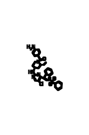 CC[C@H]1C[C@@H](Nc2ncc(Cl)c(-c3cn(S(=O)(=O)c4ccccc4)c4ccccc34)n2)CCN1C(=O)c1ccc(N)cc1